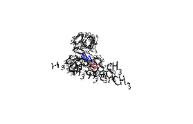 Cc1cc(C)c(-c2cc(C(C)(C)C)c3oc4c(N(c5ccc6c(c5)C(C)(C)c5ccccc5-6)c5ccc6c(c5)C5(CC7CCC5C7)c5ccccc5-6)cccc4c3c2)c(C)c1